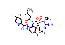 CC(C)CC(=O)N1CCC2(C1)[C@@](C)(c1cc(NC(=O)c3ccc(F)cn3)ccc1F)NC(=N)N(C)S2(=O)=O